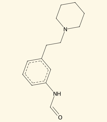 O=CNc1cccc(CCN2CCCCC2)c1